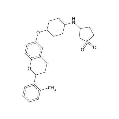 Cc1ccccc1C1CCc2cc(OC3CCC(NC4CCS(=O)(=O)C4)CC3)ccc2O1